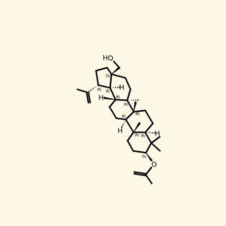 C=C(C)O[C@H]1CC[C@]2(C)[C@H]3CC[C@@H]4[C@H]5[C@H](C(=C)C)CC[C@]5(CO)CC[C@@]4(C)[C@]3(C)CC[C@H]2C1(C)C